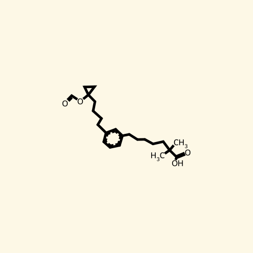 CC(C)(CCCCCc1cccc(CCCCC2(OC=O)CC2)c1)C(=O)O